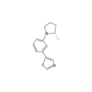 C[C@H]1CCCN1c1cccc(-c2cncs2)c1